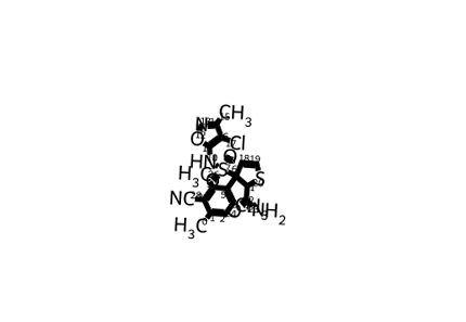 Cc1cc(C)c(C2(S(=O)(=O)Nc3onc(C)c3Cl)C=CSC2C(N)=O)c(C)c1C#N